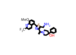 C=C(c1nc(-c2ccc(OC)c3nc(C(F)(F)F)ccc23)sc1CN)N1CCC(O)(c2ccccc2)CC1